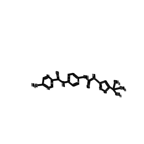 Cc1cnc(C(=O)Nc2ccc(NC(=O)Nc3cc(C(C)(C)C)on3)cc2)cn1